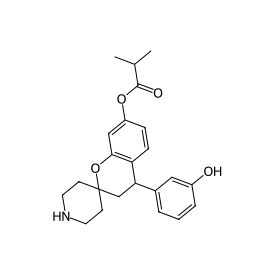 CC(C)C(=O)Oc1ccc2c(c1)OC1(CCNCC1)CC2c1cccc(O)c1